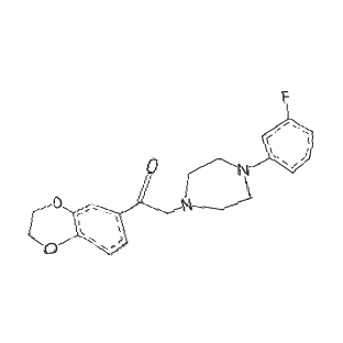 O=C(CN1CCN(c2cccc(F)c2)CC1)c1ccc2c(c1)OCCO2